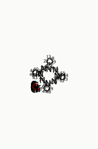 [F][V]([F])([F])([F])([F])([F])([F])([F])([F])([F])([F])([F])([F])([F])([F])[F].c1ccc2c(c1)-c1nc-2nc2[nH]c(nc3nc(nc4[nH]c(n1)c1ccccc41)-c1ccccc1-3)c1ccccc21